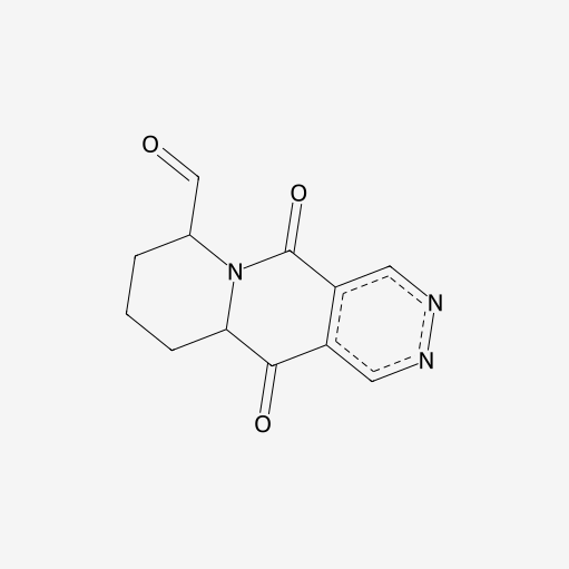 O=CC1CCCC2C(=O)c3cnncc3C(=O)N12